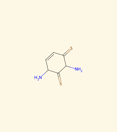 NC1C=CC(=S)C(N)C1=S